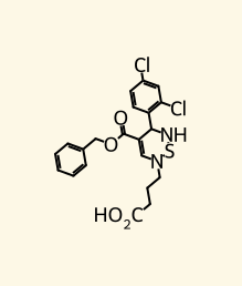 O=C(O)CCCN1C=C(C(=O)OCc2ccccc2)C(c2ccc(Cl)cc2Cl)NS1